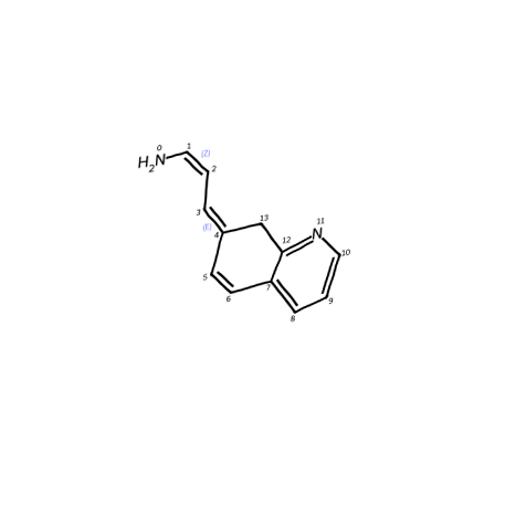 N/C=C\C=C1\C=Cc2cccnc2C1